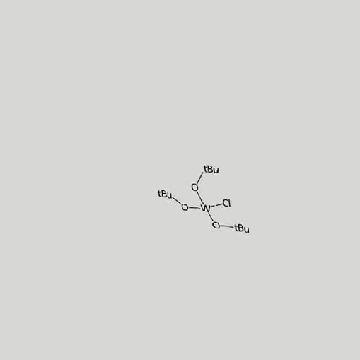 CC(C)(C)[O][W]([Cl])([O]C(C)(C)C)[O]C(C)(C)C